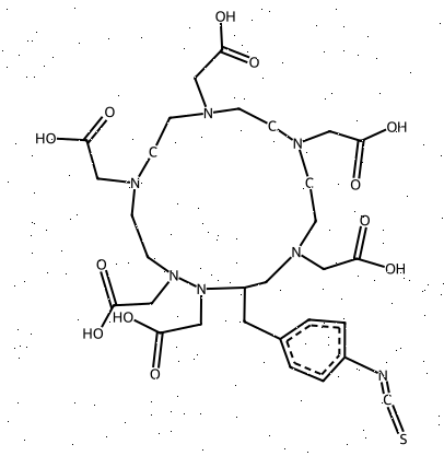 O=C(O)CN1CCN(CC(=O)O)CCN(CC(=O)O)CC(Cc2ccc(N=C=S)cc2)N(CC(=O)O)N(CC(=O)O)CCN(CC(=O)O)CC1